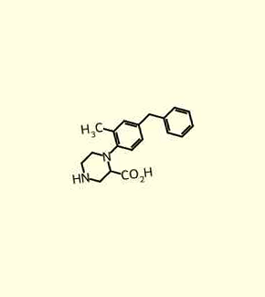 Cc1cc(Cc2ccccc2)ccc1N1CCNCC1C(=O)O